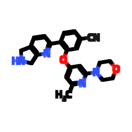 Cc1cc(Oc2cc(C#N)ccc2-c2ccc3c(n2)CNC3)cc(N2CCOCC2)n1